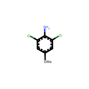 COc1cc(Cl)c(N)c(Cl)c1